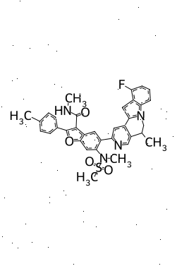 CNC(=O)c1c(-c2ccc(C)cc2)oc2cc(N(C)S(C)(=O)=O)c(-c3cc4c(cn3)C(C)Cn3c-4cc4c(F)cccc43)cc12